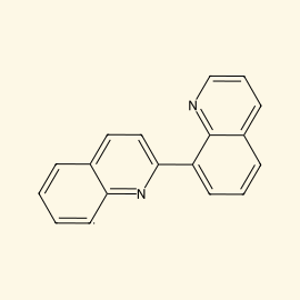 [c]1cccc2ccc(-c3cccc4cccnc34)nc12